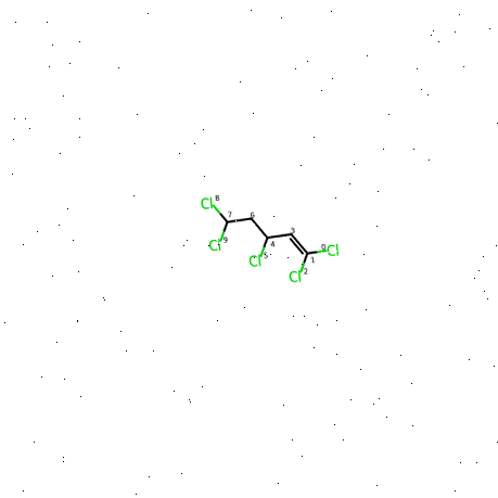 ClC(Cl)=CC(Cl)CC(Cl)Cl